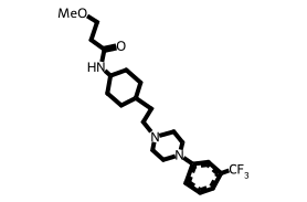 COCCC(=O)NC1CCC(CCN2CCN(c3cccc(C(F)(F)F)c3)CC2)CC1